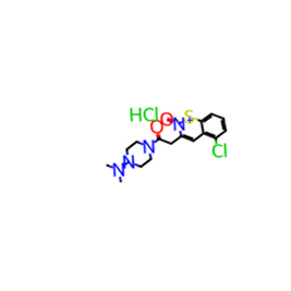 CN(C)N1CCN(C(=O)Cc2cc3c(Cl)cccc3s[n+]2=O)CC1.Cl